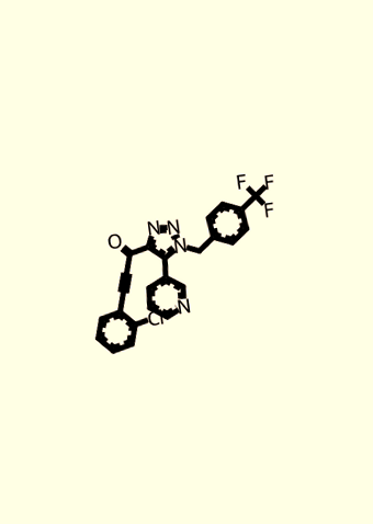 O=C(C#Cc1ccccc1Cl)c1nnn(Cc2ccc(C(F)(F)F)cc2)c1-c1cccnc1